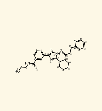 O=C(NCCO)c1cccc(-c2n[nH]c(C3CCCCN3C(=O)COc3ccccc3)n2)c1